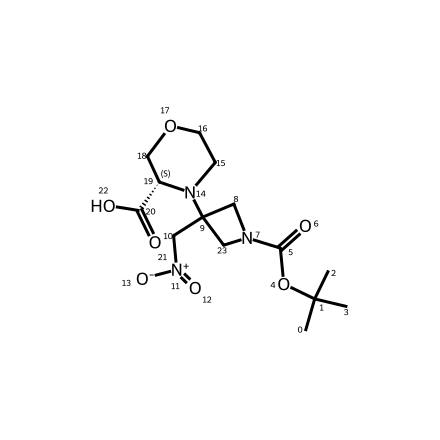 CC(C)(C)OC(=O)N1CC(C[N+](=O)[O-])(N2CCOC[C@H]2C(=O)O)C1